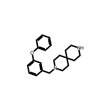 c1ccc(Oc2cccc(CN3CCC4(CCNCC4)CC3)c2)cc1